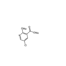 COC(=O)c1cc(Cl)cnc1OC